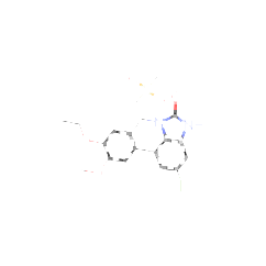 CCOc1cc2c(cc1OC)-c1cc(F)cc3[nH]c(=O)n(c13)[C@H]2CS(C)(=O)=O